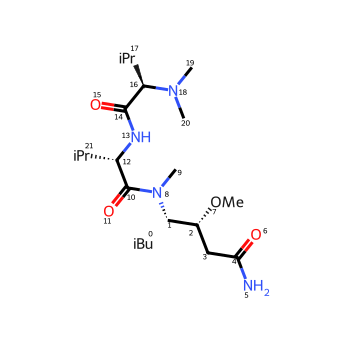 CC[C@H](C)[C@@H]([C@@H](CC(N)=O)OC)N(C)C(=O)[C@@H](NC(=O)[C@@H](C(C)C)N(C)C)C(C)C